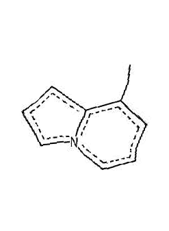 Cc1cccn2cccc12